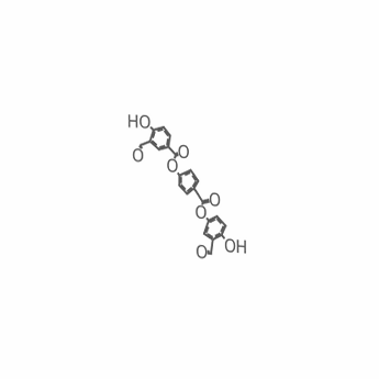 O=Cc1cc(OC(=O)c2ccc(OC(=O)c3ccc(O)c(C=O)c3)cc2)ccc1O